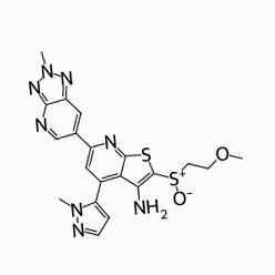 COCC[S+]([O-])c1sc2nc(-c3cnc4nn(C)nc4c3)cc(-c3ccnn3C)c2c1N